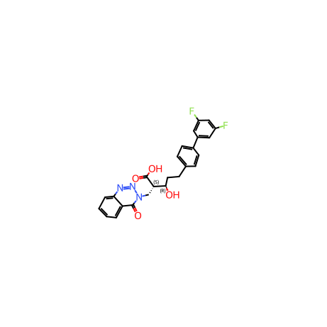 O=C(O)[C@@H](Cn1nnc2ccccc2c1=O)[C@H](O)CCc1ccc(-c2cc(F)cc(F)c2)cc1